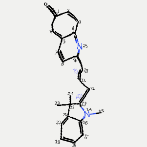 C=c1ccc2c(c1)C=CC(/C=C/C=C1/N(C)c3ccccc3C1(C)C)N=2